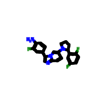 Nc1ccc(-c2cnc3ccc(N4CCCC4c4cc(F)ccc4F)cn23)cc1F